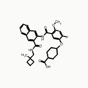 COc1cc(F)c(OC2CCC(C(=O)O)CC2)cc1C(=O)Nc1cc2ccccc2cc1C(=O)NCC1(C)CCC1